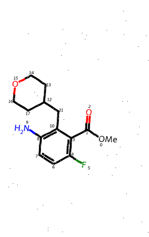 COC(=O)c1c(F)ccc(N)c1CC1CCOCC1